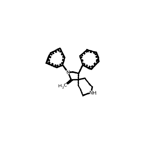 C=C1N(c2ccccc2)C(c2ccccc2)C12CCNCC2